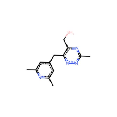 BCc1nc(C)nnc1Cc1cc(C)nc(C)c1